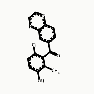 Cc1c(O)ccc(Cl)c1C(=O)c1ccc2nccnc2c1